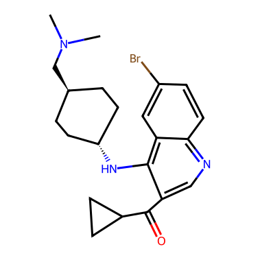 CN(C)C[C@H]1CC[C@H](Nc2c(C(=O)C3CC3)cnc3ccc(Br)cc23)CC1